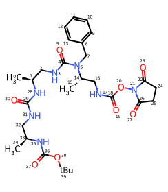 C[C@@H](CNC(=O)N(Cc1ccccc1)[C@@H](C)CNC(=O)ON1C(=O)CCC1=O)NC(=O)NC[C@H](C)NC(=O)OC(C)(C)C